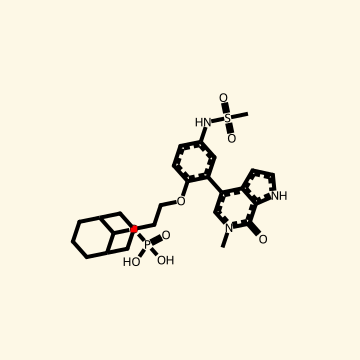 Cn1cc(-c2cc(NS(C)(=O)=O)ccc2OCCC2CC3CCCC(C2)C3OP(=O)(O)O)c2cc[nH]c2c1=O